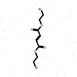 O=C(/C=C/C(=O)OCCBr)OCCBr